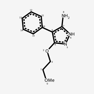 COCCOc1n[nH]c(N)c1-c1ccccc1